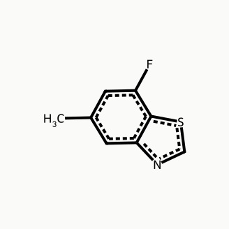 Cc1cc(F)c2scnc2c1